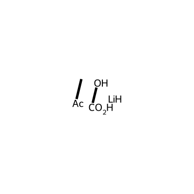 CC(C)=O.O=C(O)O.[LiH]